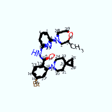 C[C@H]1CN(c2cccc(NC(=O)c3ccc(Br)cc3N3CCC4(CC3)CC4)n2)CCO1